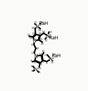 Cc1c(C[N+](C)(C)C)c(C[N+](C)(C)[RaH])c(C)n1CCCn1c(C)c(C[N+](C)(C)[RaH])c(C[N+](C)(C)[RaH])c1C